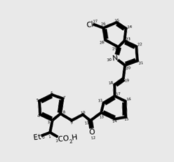 CCC(C(=O)O)c1ccccc1CCC(=O)c1cccc(C=Cc2ccc3ccc(Cl)cc3n2)c1